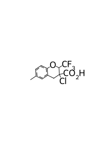 Cc1ccc2c(c1)CC(Cl)(C(=O)O)C(C(F)(F)F)O2